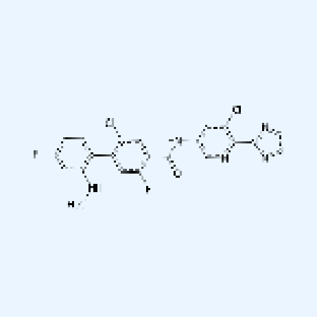 CNc1cc(F)ccc1-c1cc(F)c(C(=O)Nc2cnc(-n3nccn3)c(Cl)c2)cc1Cl